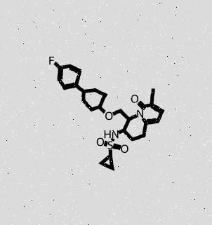 Cc1ccc2n(c1=O)C(COC1CCC(c3ccc(F)cc3)CC1)C(NS(=O)(=O)C1CC1)CC2